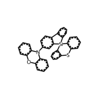 c1ccc2c(c1)Oc1ccccc1N2c1ccc2c(c1)[Si]1(c3ccccc3Sc3ccccc31)c1ccccc1-2